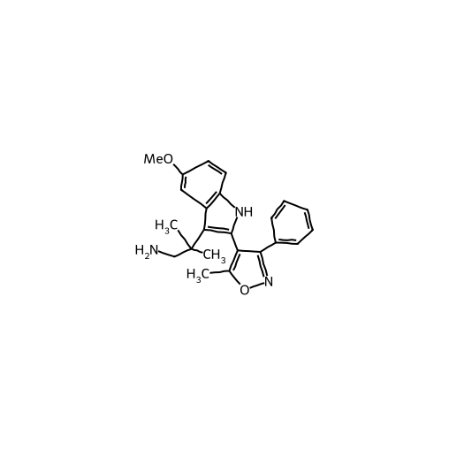 COc1ccc2[nH]c(-c3c(-c4ccccc4)noc3C)c(C(C)(C)CN)c2c1